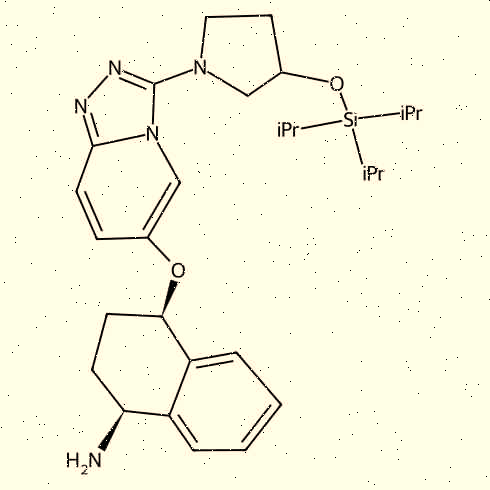 CC(C)[Si](OC1CCN(c2nnc3ccc(O[C@@H]4CC[C@H](N)c5ccccc54)cn23)C1)(C(C)C)C(C)C